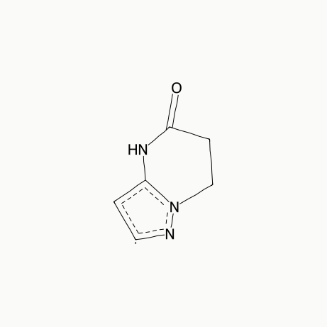 O=C1CCn2n[c]cc2N1